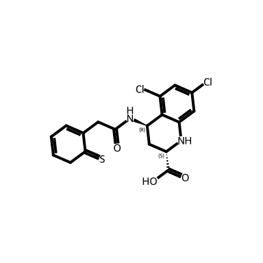 O=C(CC1=CC=CCC1=S)N[C@@H]1C[C@@H](C(=O)O)Nc2cc(Cl)cc(Cl)c21